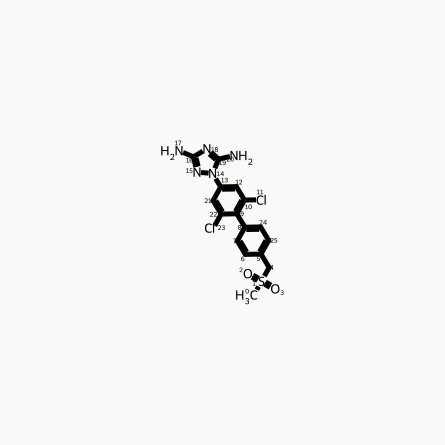 CS(=O)(=O)Cc1ccc(-c2c(Cl)cc(-n3nc(N)nc3N)cc2Cl)cc1